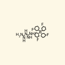 C[NH+](C)C(=N)NC(=N)N.Fc1cccc([B-](c2cccc(F)c2)(c2cccc(F)c2)c2cccc(F)c2)c1